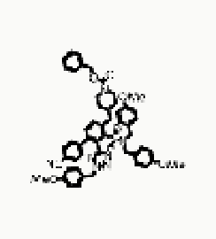 COc1ccc(CN(Cc2ccc(OC)cc2)S(=O)(=O)c2c(CC3CCN(C(=O)OCc4ccccc4)CC3)ccc(-c3ccc(C#N)cc3)c2-c2nnn(Cc3ccc(OC)cc3)n2)cc1